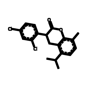 Cc1ccc(C(C)C)c2c1OC(=O)C(c1ccc(Cl)cc1Cl)C2